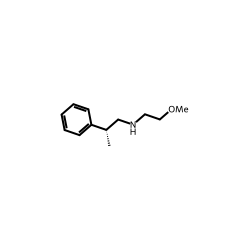 COCCNC[C@H](C)c1ccccc1